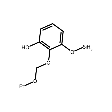 CCOCOc1c(O)cccc1O[SiH3]